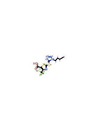 CCCCn1nnnc1Sc1nc(C(F)(F)F)c(C(=O)O)s1